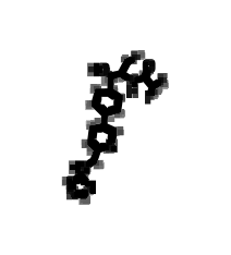 O=C(NC(CF)[C@H](O)c1ccc(-c2ccc(CNc3ncns3)nc2)cc1)C(F)F